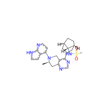 C[C@@H]1Cc2ncnc(C3C[C@H]4CC[C@@H](C3)[C@H]4NS(C)(=O)=O)c2CN1c1ccnc2[nH]ccc12